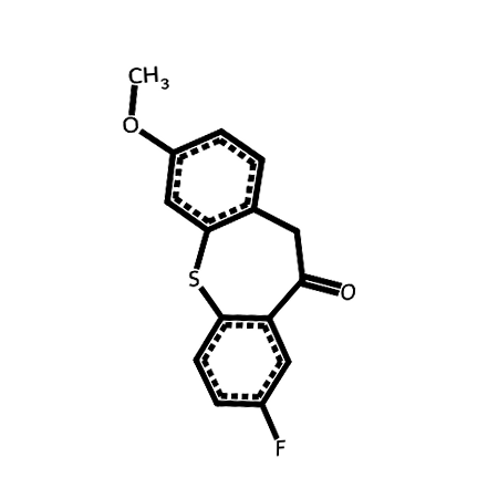 COc1ccc2c(c1)Sc1ccc(F)cc1C(=O)C2